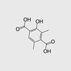 Cc1cc(C(=O)O)c(O)c(C)c1C(=O)O